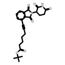 CC(C)(C)OC(=O)CCCCC#Cc1cccc2c1C(=O)N(C1CCC(=O)NC1=O)C2=O